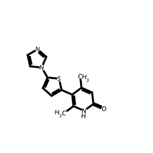 Cc1cc(=O)[nH]c(C)c1-c1ccc(-n2ccnc2)s1